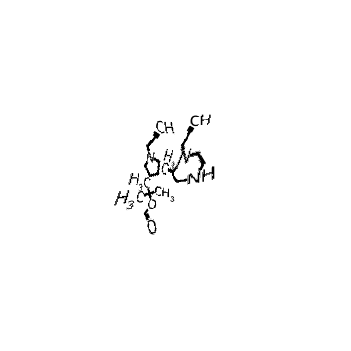 C#CCN1CCCC1.C#CCN1CCNCC1C.CC(C)(C)OC=O